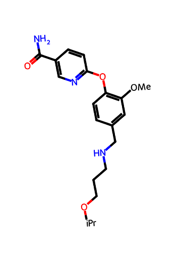 COc1cc(CNCCCOC(C)C)ccc1Oc1ccc(C(N)=O)cn1